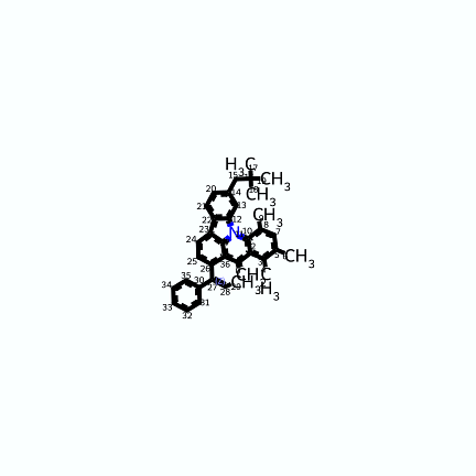 C=c1c2c(C)c(C)cc(C)c2n2c3cc(CC(C)(C)C)ccc3c3ccc(/C(=C\C)c4ccccc4)c1c32